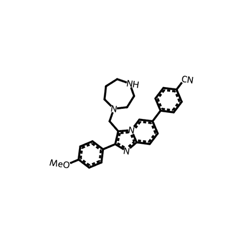 COc1ccc(-c2nc3ccc(-c4ccc(C#N)cc4)cn3c2CN2CCCNCC2)cc1